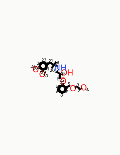 COCCOCc1ccccc1OCC(O)CNC(C)(C)Cc1ccc(OC)c(OC)c1